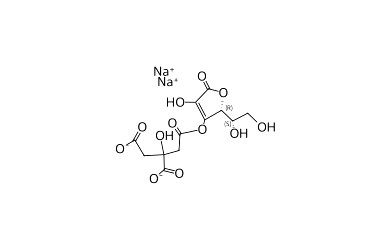 O=C([O-])CC(O)(CC(=O)OC1=C(O)C(=O)O[C@@H]1[C@@H](O)CO)C(=O)[O-].[Na+].[Na+]